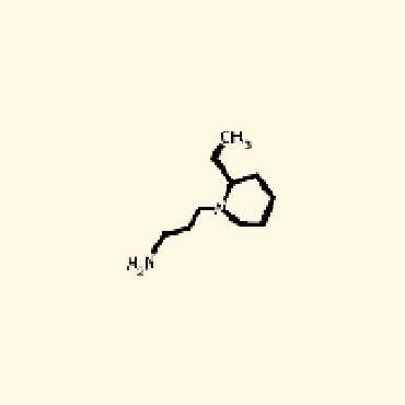 CCC1CCCCN1CCCN